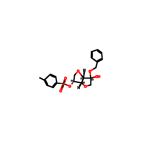 Cc1ccc(S(=O)(=O)O[C@@H]2CO[C@H]3[C@@H]2OC[C@@]3(O)OCc2ccccc2)cc1